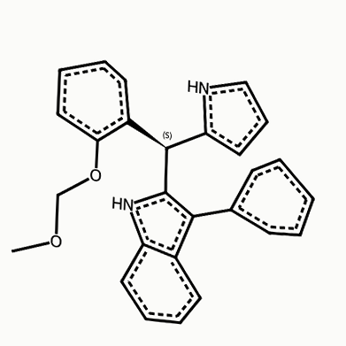 COCOc1ccccc1[C@@H](c1ccc[nH]1)c1[nH]c2ccccc2c1-c1ccccc1